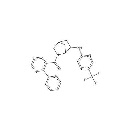 O=C(c1cccnc1-c1ccccn1)N1CC2CC(Nc3cnc(C(F)(F)F)cn3)C1C2